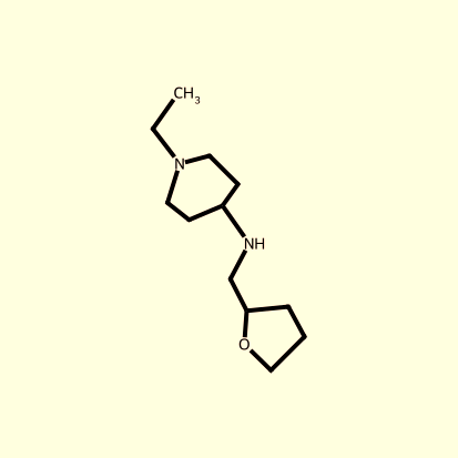 CCN1CCC(NCC2CCCO2)CC1